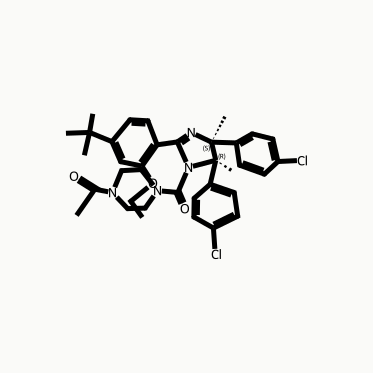 CCOc1cc(C(C)(C)C)ccc1C1=N[C@@](C)(c2ccc(Cl)cc2)[C@@](C)(c2ccc(Cl)cc2)N1C(=O)N1CCN(C(C)=O)CC1